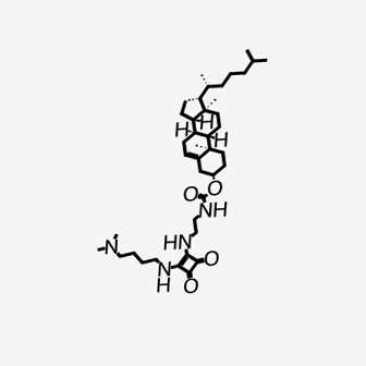 CC(C)CCC[C@@H](C)[C@H]1CC[C@H]2[C@@H]3CC=C4C[C@@H](OC(=O)NCCNc5c(NCCCCN(C)C)c(=O)c5=O)CC[C@]4(C)[C@H]3CC[C@]12C